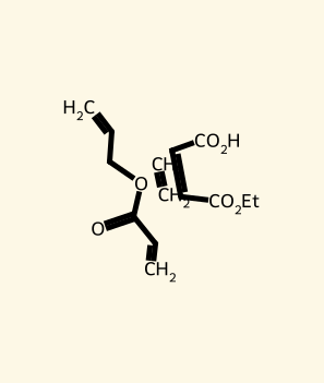 C=C.C=CCOC(=O)C=C.CCOC(=O)/C=C\C(=O)O